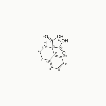 O=C(O)C1(C(=O)O)NCCc2ccccc21